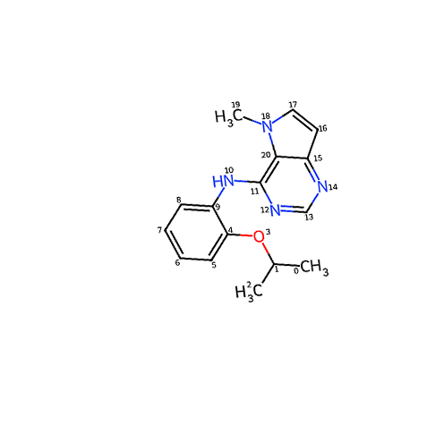 CC(C)Oc1ccccc1Nc1ncnc2ccn(C)c12